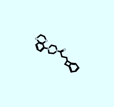 O=C(CCC1Cc2ccccc21)N1CCN(c2cccc3c2OCCO3)CC1